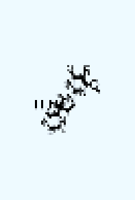 COc1nc(N2CCC(N)(c3cnccn3)C2)nc(C)c1F